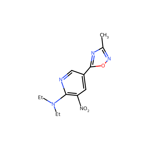 CCN(CC)c1ncc(-c2nc(C)no2)cc1[N+](=O)[O-]